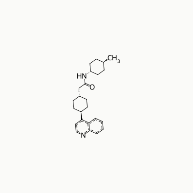 C[C@H]1CC[C@H](NC(=O)C[C@H]2CC[C@H](c3ccnc4ccccc43)CC2)CC1